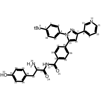 CC(C)(C)c1ccc(-n2nc(-c3cccnc3)cc2-c2ccc(C(=O)NC(=O)C(N)Cc3ccc(O)cc3)cc2)cc1